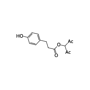 CC(=O)C(OC(=O)CCc1ccc(O)cc1)C(C)=O